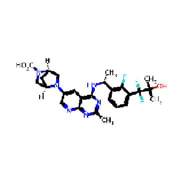 Cc1nc(N[C@H](C)c2cccc(C(F)(F)C(C)(C)O)c2F)c2cc(N3C[C@H]4C[C@@H]3CN4C(=O)O)cnc2n1